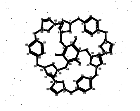 Cc1c(CN2C=CN(Cc3ccc(CN4C=CN(C)C4)cc3)C2)c(C)c(CN2C=CN(Cc3ccc(CN4C=CN(C)C4)cc3)C2)c(C)c1CN1C=CN(Cc2ccc(CN3C=CN(C)C3)cc2)C1